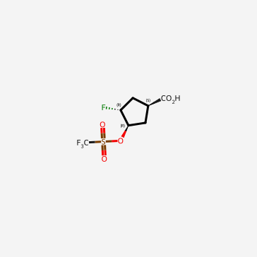 O=C(O)[C@@H]1C[C@@H](F)[C@H](OS(=O)(=O)C(F)(F)F)C1